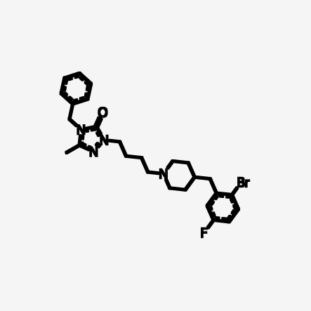 Cc1nn(CCCCN2CCC(Cc3cc(F)ccc3Br)CC2)c(=O)n1Cc1ccccc1